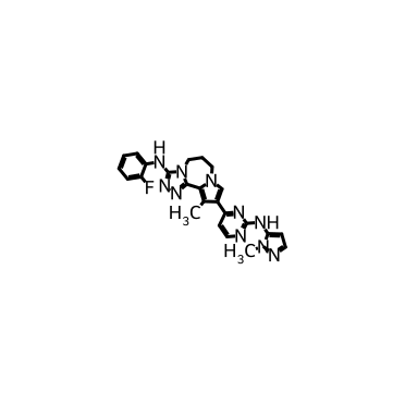 Cc1c(-c2ccnc(Nc3ccnn3C)n2)cn2c1-c1nnc(Nc3ccccc3F)n1CCC2